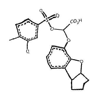 Cc1ccc(S(=O)(=O)OC(Oc2cccc3c2OC2CCCC32)C(=O)O)cc1Cl